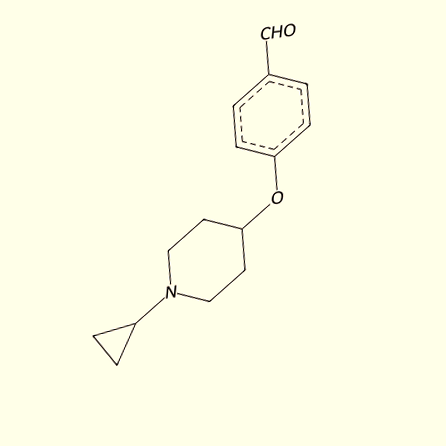 O=Cc1ccc(OC2CCN(C3CC3)CC2)cc1